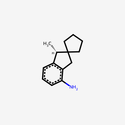 C[C@H]1c2cccc(N)c2CC12CCCC2